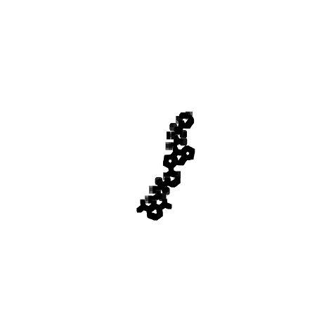 CC(C)c1cccc(C(C)C)c1NC(=O)NS(=O)(=O)c1ccnc(C2CCc3c2cc2c(c3NC(=O)NS(=O)(=O)c3ccncn3)CCC2)n1